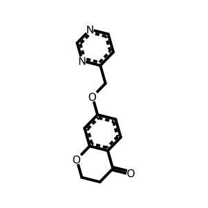 O=C1CCOc2cc(OCc3ccncn3)ccc21